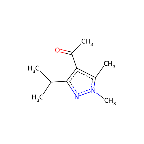 CC(=O)c1c(C(C)C)nn(C)c1C